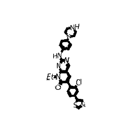 CCn1c(=O)c(-c2ccc(-c3cncs3)cc2Cl)cc2cnc(Nc3ccc(N4CCNCC4)cc3)nc21